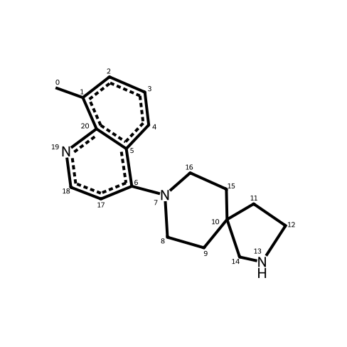 Cc1cccc2c(N3CCC4(CCNC4)CC3)ccnc12